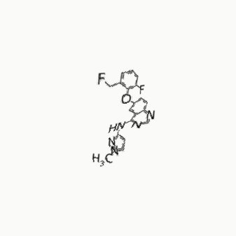 Cn1ccc(Nc2ncnc3ccc(Oc4c(F)cccc4CF)cc23)n1